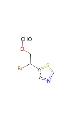 O=COCC(Br)c1cncs1